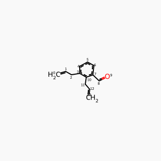 C=CCc1cccc(C=O)c1CC=C